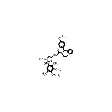 COc1ccc(C2c3cccn3CCN2C(=O)COCCN(C)S(=O)(=O)c2cc(C)c(OC)c(C)c2C)cc1